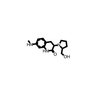 CNc1ccc2c(c1)NC(=O)C(N1CCCC1CO)C2